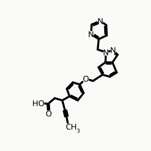 CC#CC(CC(=O)O)c1ccc(OCc2ccc3cnn(Cc4ccncn4)c3c2)cc1